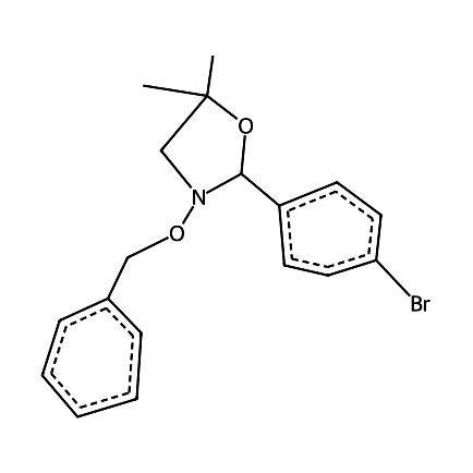 CC1(C)CN(OCc2ccccc2)C(c2ccc(Br)cc2)O1